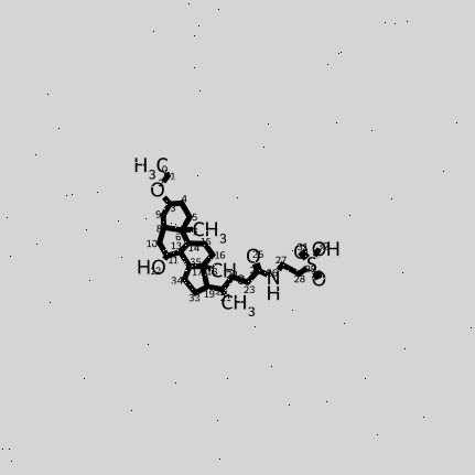 CCOC1CCC2(C)C(C1)CC(O)C1C2CCC2(C)C(C(C)CCC(=O)NCCS(=O)(=O)O)CCC12